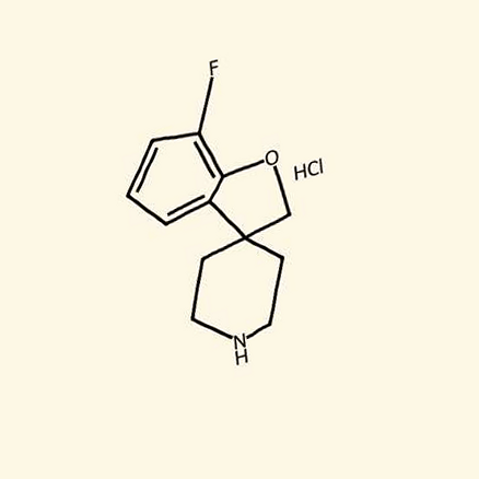 Cl.Fc1cccc2c1OCC21CCNCC1